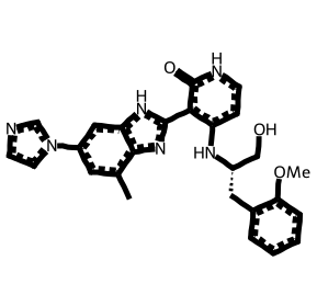 COc1ccccc1C[C@@H](CO)Nc1cc[nH]c(=O)c1-c1nc2c(C)cc(-n3ccnc3)cc2[nH]1